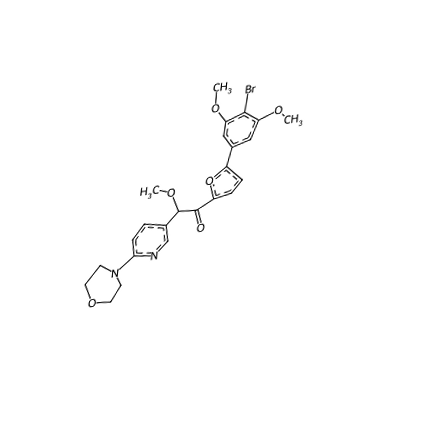 COc1cc(-c2ccc(C(=O)C(OC)c3ccc(N4CCOCC4)nc3)o2)cc(OC)c1Br